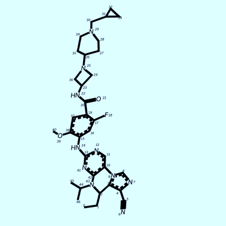 CCC1c2c(C#N)ncn2-c2cnc(Nc3cc(F)c(C(=O)NC4CN(C5CCN(CC6CC6)CC5)C4)cc3OC)nc2N1C(C)C